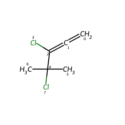 C=C=C(Cl)C(C)(C)Cl